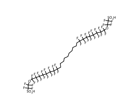 O=S(=O)(O)C(F)(F)C(F)(F)OC(F)(F)C(F)(F)C(F)(F)C(F)(F)C(F)(F)C(F)(F)C(F)(F)C(F)(F)CCCCCCCCCCC(F)(F)C(F)(F)C(F)(F)C(F)(F)C(F)(F)C(F)(F)C(F)(F)C(F)(F)OC(F)(F)C(F)(F)S(=O)(=O)O